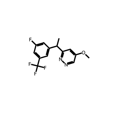 COc1cnnc(C(C)c2cc(F)cc(C(F)(F)F)c2)c1